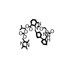 CCOc1nc2cccc(C(=O)OC(OC(=O)OCc3nc(C)c(C)nc3C)C(C)C)c2n1Cc1ccc(-c2ccccc2-c2noc(=O)[nH]2)cc1